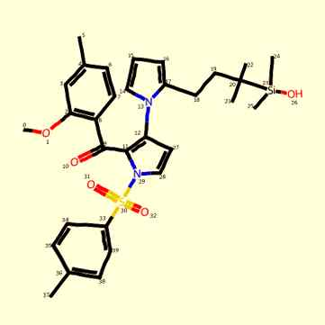 COc1cc(C)ccc1C(=O)c1c(-n2cccc2CCC(C)(C)[Si](C)(C)O)ccn1S(=O)(=O)c1ccc(C)cc1